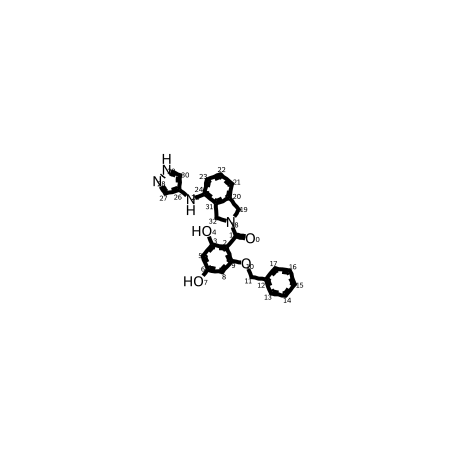 O=C(c1c(O)cc(O)cc1OCc1ccccc1)N1Cc2cccc(Nc3cn[nH]c3)c2C1